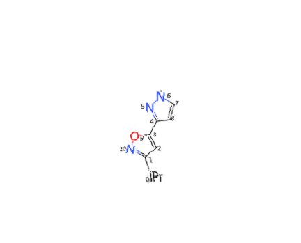 CC(C)c1cc(C2=N[N]C=C2)on1